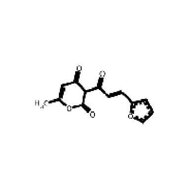 CC1=CC(=O)C(C(=O)C=Cc2ccco2)C(=O)O1